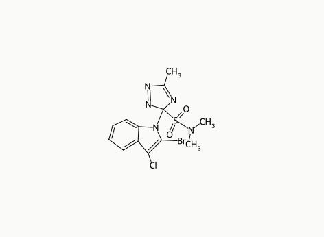 CC1=NC(n2c(Br)c(Cl)c3ccccc32)(S(=O)(=O)N(C)C)N=N1